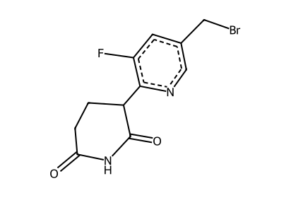 O=C1CCC(c2ncc(CBr)cc2F)C(=O)N1